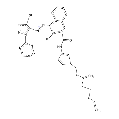 [C-]#[N+]c1cnn(-c2ncccn2)c1/N=N/c1c(O)c(C(=O)NC2=CC(COC(=C)CCOC=C)C=C2)cc2ccccc12